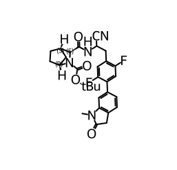 CN1C(=O)Cc2ccc(-c3cc(F)c(CC(C#N)NC(=O)[C@@H]4[C@H]5CC[C@H](C5)N4C(=O)OC(C)(C)C)cc3F)cc21